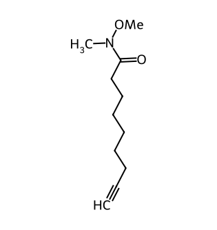 C#CCCCCCCC(=O)N(C)OC